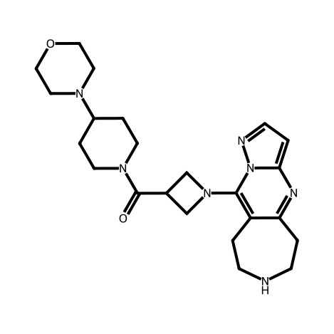 O=C(C1CN(c2c3c(nc4ccnn24)CCNCC3)C1)N1CCC(N2CCOCC2)CC1